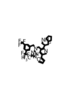 Cn1nnc(N(Cc2cc(C(F)(F)F)cc(C(F)(F)F)c2)Cc2cc(-c3ccco3)cnc2C(CN)CC2CCCC2)n1